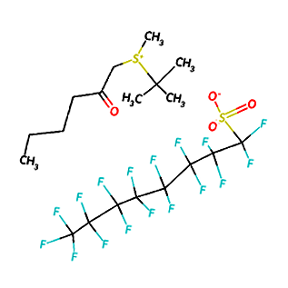 CCCCC(=O)C[S+](C)C(C)(C)C.O=S(=O)([O-])C(F)(F)C(F)(F)C(F)(F)C(F)(F)C(F)(F)C(F)(F)C(F)(F)C(F)(F)F